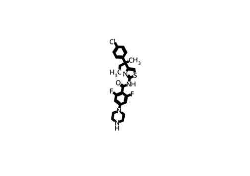 CCC(C)(c1ccc(Cl)cc1)c1csc(NC(=O)c2c(F)cc(N3CCNCC3)cc2F)n1